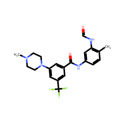 Cc1ccc(NC(=O)c2cc(N3CCN(C)CC3)cc(C(F)(F)F)c2)cc1NC=O